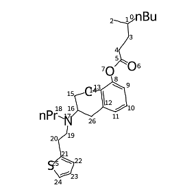 CCCCC(C)CCC(=O)Oc1cccc2c1CCC(N(CCC)CCc1cccs1)C2